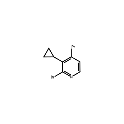 CC(C)c1ccnc(Br)c1C1CC1